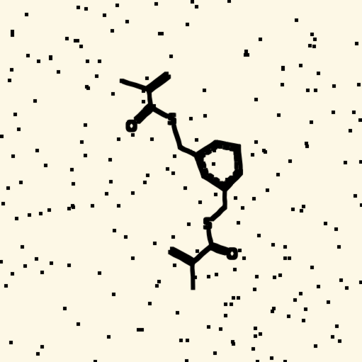 C=C(C)C(=O)SCc1cccc(CSC(=O)C(=C)C)c1